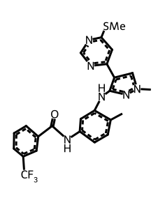 CSc1cc(-c2cn(C)nc2Nc2cc(NC(=O)c3cccc(C(F)(F)F)c3)ccc2C)ncn1